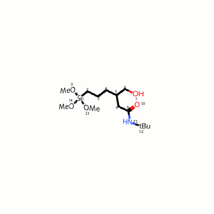 CO[Si](CCCC(CO)CC(=O)NC(C)(C)C)(OC)OC